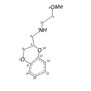 COCCNCC1COc2cc[c]cc2O1